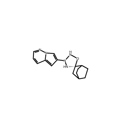 c1cnn2cc(N3NO[C@@]4(CC5CCC4CC5)N3)cc2c1